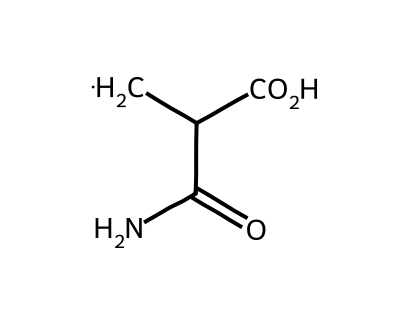 [CH2]C(C(N)=O)C(=O)O